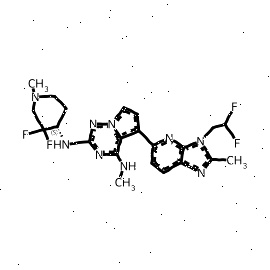 CNc1nc(N[C@H]2CCN(C)CC2(F)F)nn2ccc(-c3ccc4nc(C)n(CC(F)F)c4n3)c12